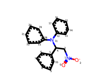 O=[N+]([O-])CC(c1ccccc1)N(c1ccccc1)c1ccccc1